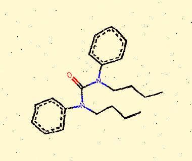 CCCCN(C(=O)N(CCCC)c1ccccc1)c1ccccc1